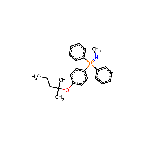 CCCC(C)(C)Oc1ccc(P(=NC)(c2ccccc2)c2ccccc2)cc1